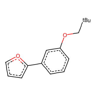 CC(C)(C)COc1cccc(-c2ccco2)c1